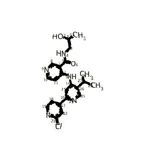 CC(O)CNC(=O)c1cnccc1Nc1cc(-c2ccnc(Cl)c2)ncc1C(C)C